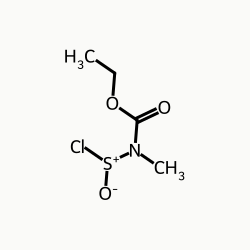 CCOC(=O)N(C)[S+]([O-])Cl